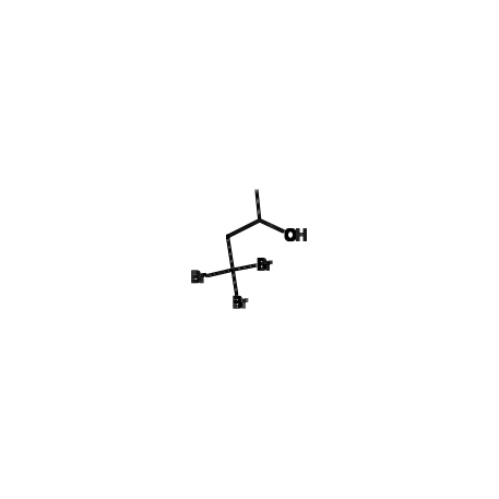 CC(O)CC(Br)(Br)Br